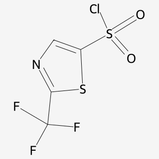 O=S(=O)(Cl)c1cnc(C(F)(F)F)s1